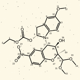 CCOC(=O)O[C@@H]1Cc2cc(OC)ccc2N1[C@H]1c2cc([N+](=O)[O-])ccc2O[C@](C)(C(OC)OC)[C@@H]1O